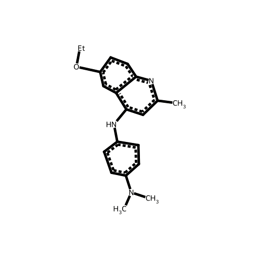 CCOc1ccc2nc(C)cc(Nc3ccc(N(C)C)cc3)c2c1